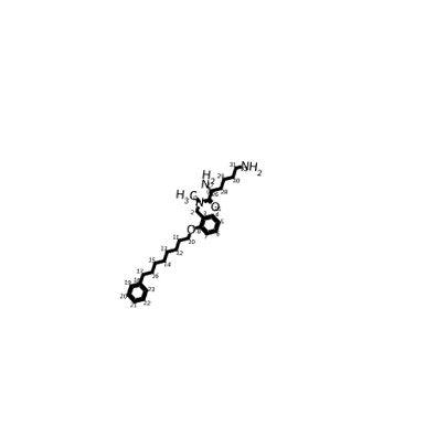 CN(Cc1ccccc1OCCCCCCCCc1ccccc1)C(=O)[C@H](N)CCCCN